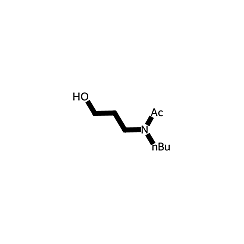 CCCCN(CCCO)C(C)=O